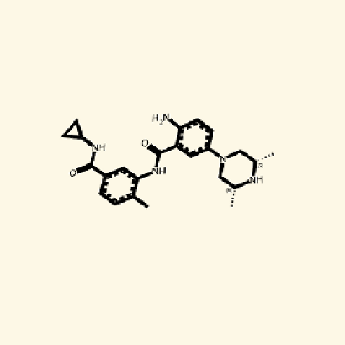 Cc1ccc(C(=O)NC2CC2)cc1NC(=O)c1cc(N2C[C@@H](C)N[C@@H](C)C2)ccc1N